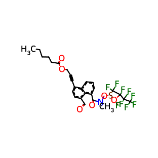 CCCCCC(=O)OCC#Cc1ccc(C=O)c2c(C(=O)N(C)OSC(F)(F)C(F)(OF)C(F)(F)C(F)(F)F)cccc12